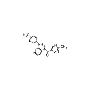 Cc1ccc(Nc2cnccc2NC(=O)c2cnc(C)nc2)cn1